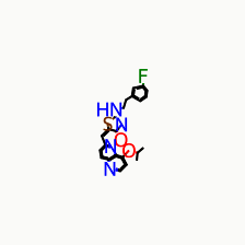 CC(C)Oc1ccnc2ccc(C=C3SC(NCCc4cccc(F)c4)=NC3=O)nc12